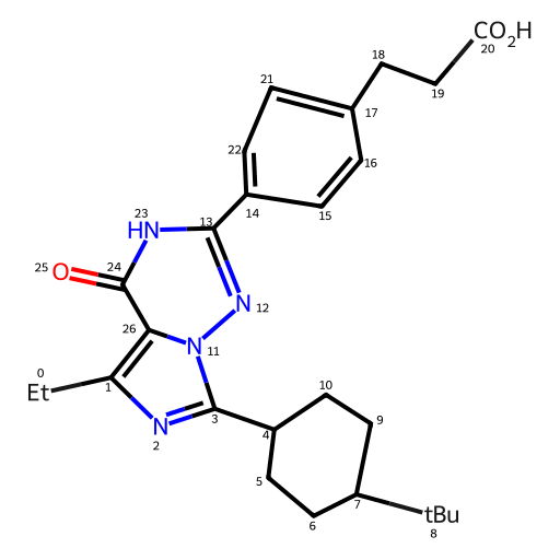 CCc1nc(C2CCC(C(C)(C)C)CC2)n2nc(-c3ccc(CCC(=O)O)cc3)[nH]c(=O)c12